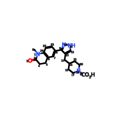 CN1C(=O)CCc2cc(-c3n[nH]cc3CC3CCN(C(=O)O)CC3)ccc21